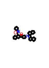 c1ccc2c(-c3nc4ccccc4o3)c3oc4cc(-n5c6ccc7ccccc7c6c6c7ccccc7ccc65)ccc4c3cc2c1